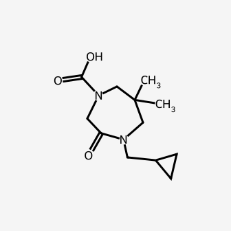 CC1(C)CN(C(=O)O)CC(=O)N(CC2CC2)C1